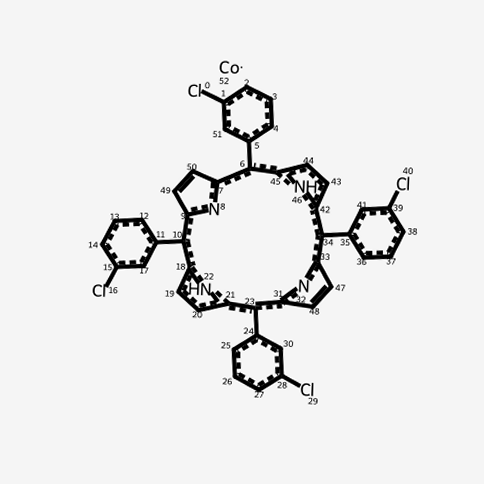 Clc1cccc(-c2c3nc(c(-c4cccc(Cl)c4)c4ccc([nH]4)c(-c4cccc(Cl)c4)c4nc(c(-c5cccc(Cl)c5)c5ccc2[nH]5)C=C4)C=C3)c1.[Co]